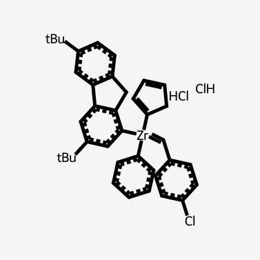 CC(C)(C)c1ccc2c(c1)-c1cc(C(C)(C)C)c[c]([Zr](=[CH]c3ccc(Cl)cc3)([C]3=CC=CC3)[c]3ccccc3)c1C2.Cl.Cl